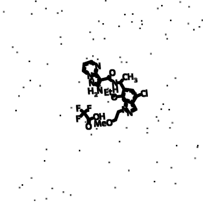 CCOc1c(C(C)NC(=O)c2c(N)nn3cccnc23)cc(Cl)c2cnn(CCOC)c12.O=C(O)C(F)(F)F